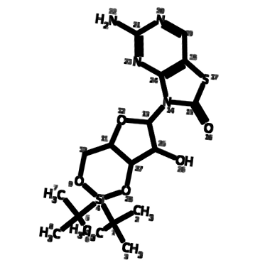 CC(C)(C)[Si]1(C(C)(C)C)OCC2OC(n3c(=O)sc4cnc(N)nc43)C(O)C2O1